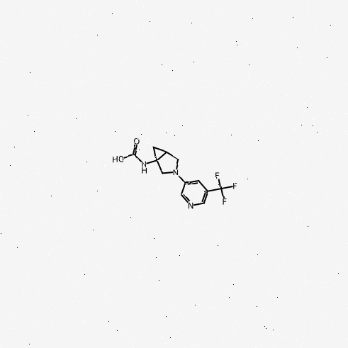 O=C(O)NC12CC1CN(c1cncc(C(F)(F)F)c1)C2